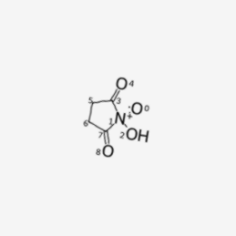 [O][N+]1(O)C(=O)CCC1=O